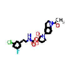 CC(=O)N1CCc2cc(N3CCC(O)(OC(=O)NCCc4cc(F)cc(Cl)c4)C3=O)ccc21